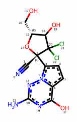 N#C[C@@]1(c2ccc3c(O)nc(N)nn23)O[C@H](CO)C(O)C1(Cl)Cl